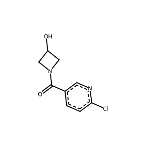 O=C(c1ccc(Cl)nc1)N1CC(O)C1